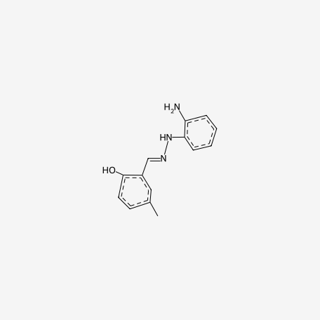 Cc1ccc(O)c(C=NNc2ccccc2N)c1